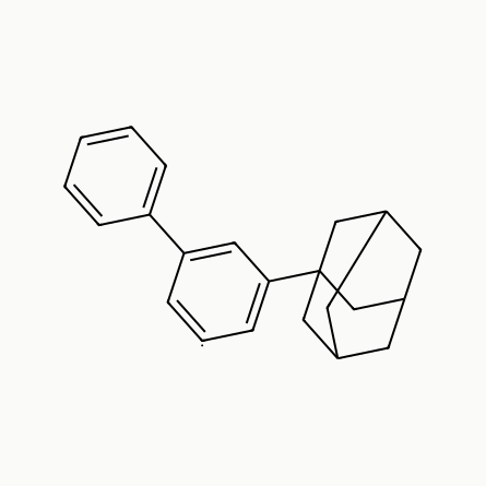 [c]1cc(-c2ccccc2)cc(C23CC4CC(CC(C4)C2)C3)c1